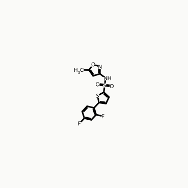 Cc1cc(NS(=O)(=O)c2ccc(-c3ccc(F)cc3F)s2)no1